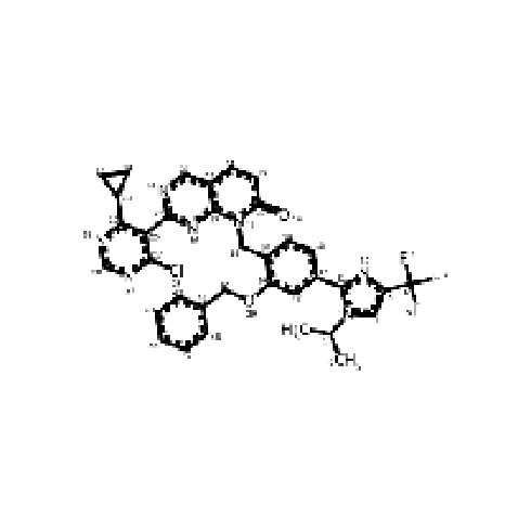 CC(C)n1cc(C(F)(F)F)nc1-c1ccc(Cn2c(=O)ccc3cnc(-c4c(Cl)ncnc4C4CC4)nc32)c(OCc2ccccc2)c1